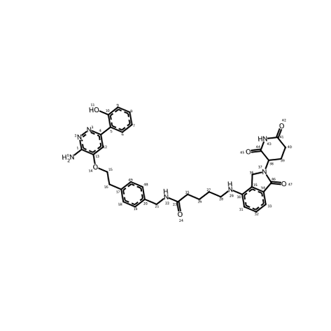 Nc1nnc(-c2ccccc2O)cc1OCCc1ccc(CNC(=O)CCCCNc2cccc3c2CN(C2CCC(=O)NC2=O)C3=O)cc1